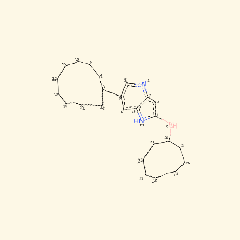 B(c1cc2ncc(C3CCCCCCCCC3)cc2[nH]1)C1CCCCCCC1